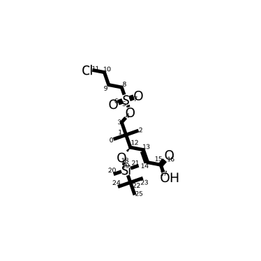 CC(C)(COS(=O)(=O)CCCCl)[C@H](/C=C/C(=O)O)O[Si](C)(C)C(C)(C)C